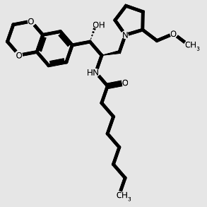 CCCCCCCC(=O)N[C@H](CN1CCCC1COC)[C@@H](O)c1ccc2c(c1)OCCO2